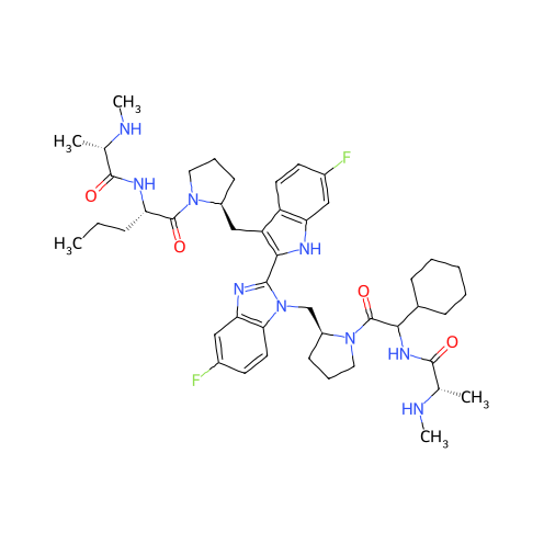 CCC[C@H](NC(=O)[C@H](C)NC)C(=O)N1CCC[C@H]1Cc1c(-c2nc3cc(F)ccc3n2C[C@@H]2CCCN2C(=O)C(NC(=O)[C@H](C)NC)C2CCCCC2)[nH]c2cc(F)ccc12